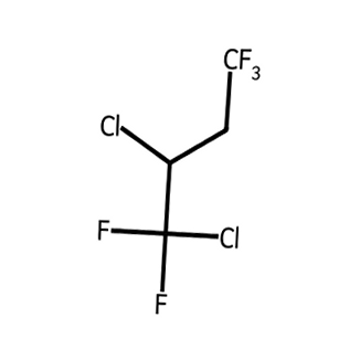 FC(F)(F)CC(Cl)C(F)(F)Cl